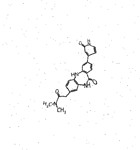 CN(C)C(=O)Cc1ccc2c(c1)NC(=O)c1ccc(-c3cc[nH]c(=O)c3)cc1N2